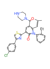 CCc1ccccc1-n1c(C=C(C)C)c(C(=O)N2CCNCC2)cc(-c2nc(-c3ccc(Cl)cc3)cs2)c1=O